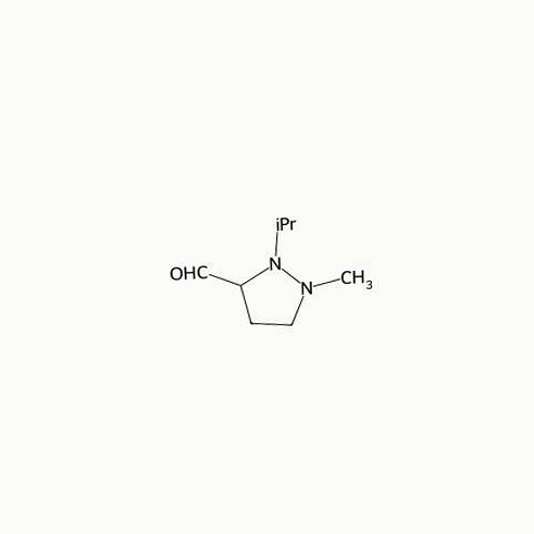 CC(C)N1C(C=O)CCN1C